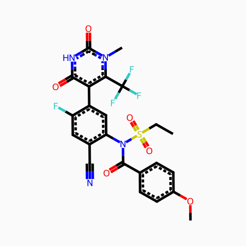 CCS(=O)(=O)N(C(=O)c1ccc(OC)cc1)c1cc(-c2c(C(F)(F)F)n(C)c(=O)[nH]c2=O)c(F)cc1C#N